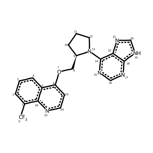 FC(F)(F)c1cccc2c(OC[C@H]3CCCN3c3ncnc4[nH]cnc34)ccnc12